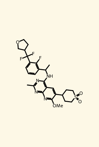 COc1nc2nc(C)nc(NC(C)c3cccc(C(F)(F)C4CCOC4)c3F)c2cc1C1CCS(=O)(=O)CC1